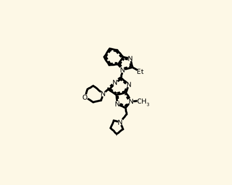 CCc1nc2ccccc2n1-c1nc(N2CCOCC2)c2nc(CN3C[CH]CC3)n(C)c2n1